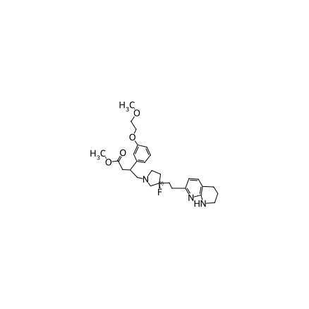 COCCOc1cccc(C(CC(=O)OC)CN2CC[C@](F)(CCc3ccc4c(n3)NCCC4)C2)c1